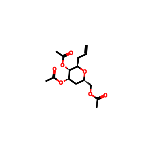 C=CC[C@H]1O[C@H](COC(C)=O)C[C@H](OC(C)=O)[C@@H]1OC(C)=O